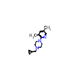 Cc1cnc(N2CCN(CC3CC3)CC2)c(C)c1